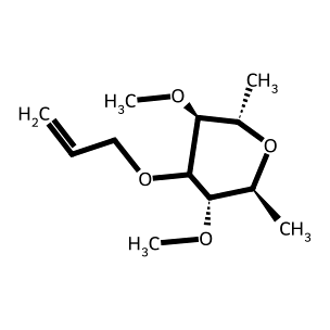 C=CCOC1[C@@H](OC)[C@H](C)O[C@@H](C)[C@@H]1OC